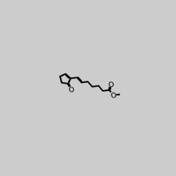 COC(=O)CCCCC=CC1=CCCC1=O